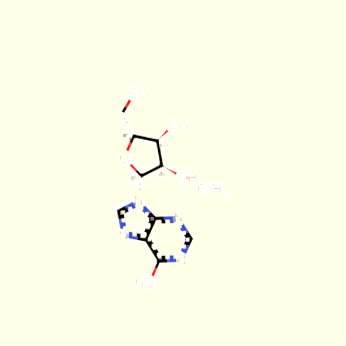 OC[C@H]1O[C@@H](n2cnc3c(O)ncnc32)[C@H](O)[C@@H]1O.[CaH2]